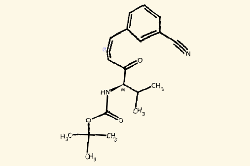 CC(C)[C@@H](NC(=O)OC(C)(C)C)C(=O)/C=C\c1cccc(C#N)c1